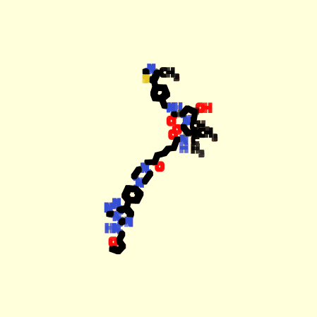 Cc1ncsc1-c1ccc(CNC(=O)[C@@H]2C[C@@H](O)CN2C(=O)[C@@H](NC(=O)CCCCC(=O)CN2CCN(c3ccc(-c4cnc(NCC5CC=CO5)n5cnnc45)cc3)CC2)C(C)(C)C)cc1